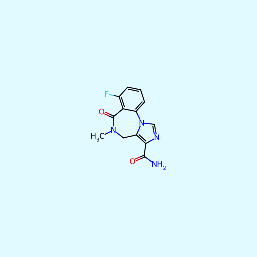 CN1Cc2c(C(N)=O)ncn2-c2cccc(F)c2C1=O